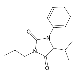 CCCN1C(=O)C(C(C)C)N(C2=CCCC=C2)C1=O